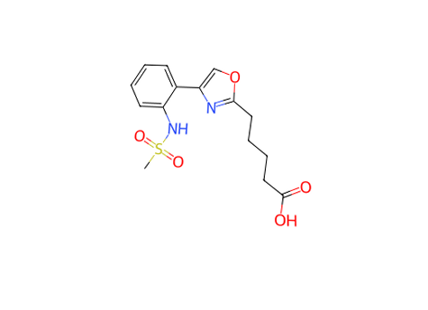 CS(=O)(=O)Nc1ccccc1-c1coc(CCCCC(=O)O)n1